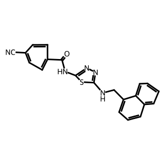 N#Cc1ccc(C(=O)Nc2nnc(NCc3cccc4ccccc34)s2)cc1